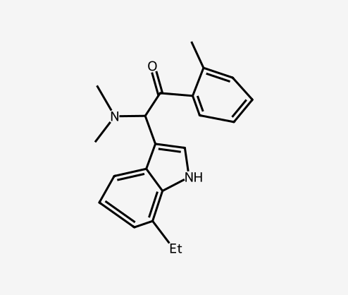 CCc1cccc2c(C(C(=O)c3ccccc3C)N(C)C)c[nH]c12